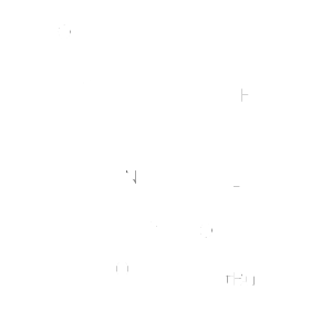 CC(C)(C)OC(=O)N1CCC(=O)CC1C(F)F